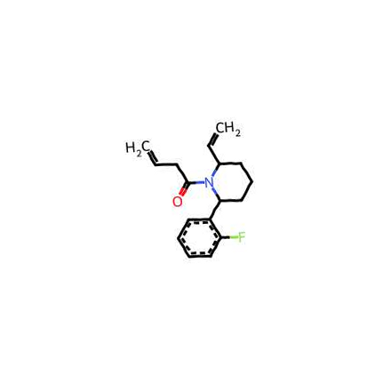 C=CCC(=O)N1C(C=C)CCCC1c1ccccc1F